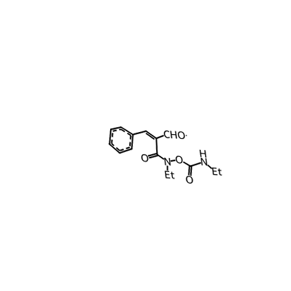 CCNC(=O)ON(CC)C(=O)C([C]=O)=Cc1ccccc1